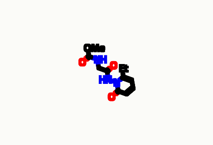 CCc1cccc(=O)n1NC(=O)CNC(=O)OC